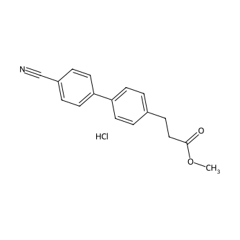 COC(=O)CCc1ccc(-c2ccc(C#N)cc2)cc1.Cl